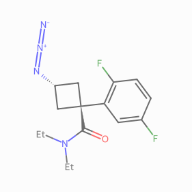 CCN(CC)C(=O)[C@]1(c2cc(F)ccc2F)C[C@@H](N=[N+]=[N-])C1